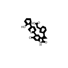 O=C(O)Cc1cccc(C2CC23C(=O)Nc2cc(Cl)c(-c4ccc(-c5ccccc5O)cn4)cc23)c1